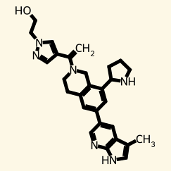 C=C(c1cnn(CCO)c1)N1CCc2cc(-c3cnc4[nH]cc(C)c4c3)cc(C3CCCN3)c2C1